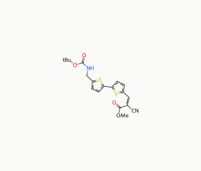 COC(=O)C(C#N)=Cc1ccc(-c2ccc(CNC(=O)OC(C)(C)C)s2)s1